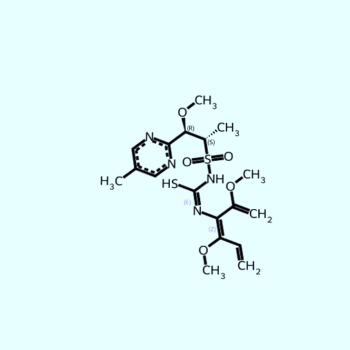 C=C/C(OC)=C(/N=C(/S)NS(=O)(=O)[C@@H](C)[C@H](OC)c1ncc(C)cn1)C(=C)OC